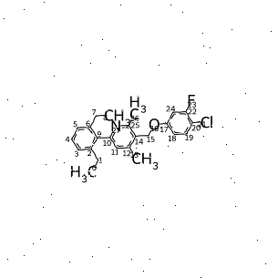 CCc1cccc(CC)c1-c1cc(C)c(COc2ccc(Cl)c(F)c2)c(C)n1